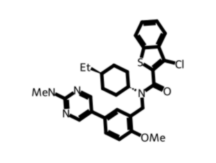 CC[C@H]1CC[C@H](N(Cc2cc(-c3cnc(NC)nc3)ccc2OC)C(=O)c2sc3ccccc3c2Cl)CC1